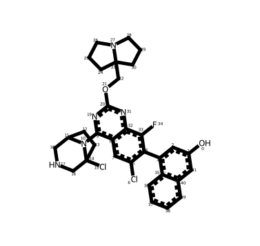 Oc1cc(-c2c(Cl)cc3c(N4C5CCC4(Cl)CNC5)nc(OCC45CCCN4CCC5)nc3c2F)c2ccccc2c1